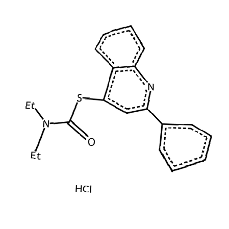 CCN(CC)C(=O)Sc1cc(-c2ccccc2)nc2ccccc12.Cl